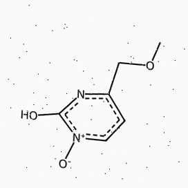 COCc1cc[n+]([O-])c(O)n1